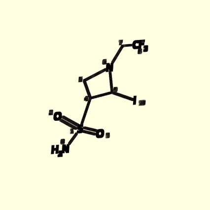 NS(=O)(=O)C1CN(CC(F)(F)F)C1I